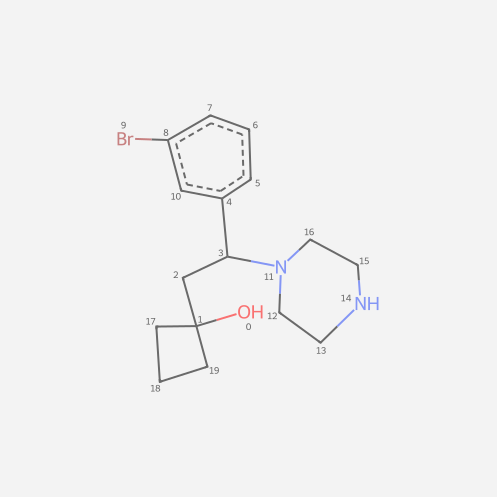 OC1(CC(c2cccc(Br)c2)N2CCNCC2)CCC1